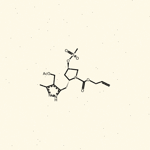 C=CCOC(=O)N1C[C@H](OS(C)(=O)=O)C[C@H]1Cc1[nH]nc(C)c1COC(C)=O